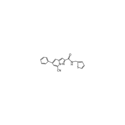 N#Cc1cc(-c2ccccc2)cc2cc(C(=O)NCc3cccs3)nn12